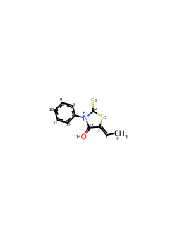 C/C=C1\SC(=S)N(c2ccccc2)C1=O